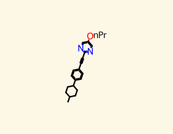 CCCOc1cnc(C#Cc2ccc(C3CCC(C)CC3)cc2)nc1